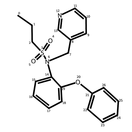 CCCS(=O)(=O)N(Cc1cccnc1)c1ccccc1Oc1ccccc1